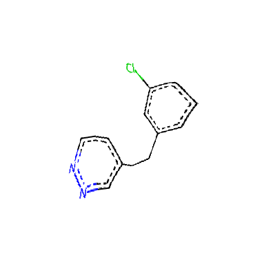 Clc1cccc(Cc2ccnnc2)c1